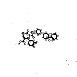 COC(=O)C1=CNC(=O)N(C(=O)N[C@@H]2CCN([C@H]3CC[C@@](O)(c4ccccn4)CC3)C2)[C@H]1c1ccc(F)c(F)c1